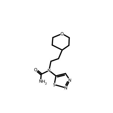 NC(=O)N(CCC1CCOCC1)c1cnns1